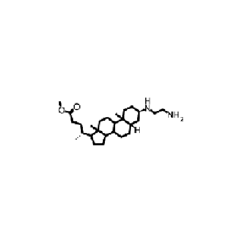 COC(=O)CC[C@@H](C)C1CCC2C3CC[C@H]4C[C@H](NCCN)CCC4(C)C3CCC21C